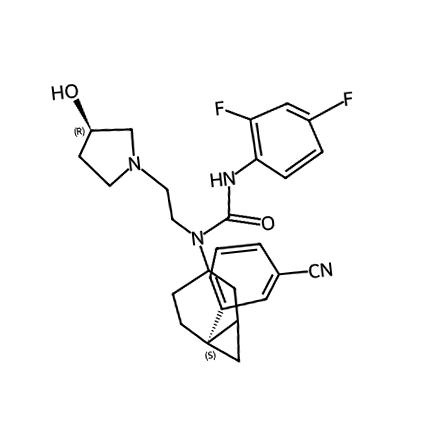 N#Cc1cccc([C@]23CCC(N(CCN4CC[C@@H](O)C4)C(=O)Nc4ccc(F)cc4F)CC2C3)c1